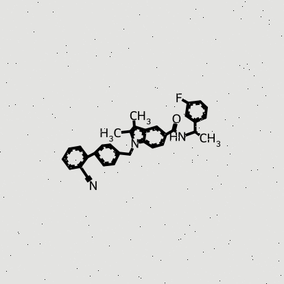 Cc1c(C)n(Cc2ccc(-c3ccccc3C#N)cc2)c2ccc(C(=O)NC(C)c3cccc(F)c3)cc12